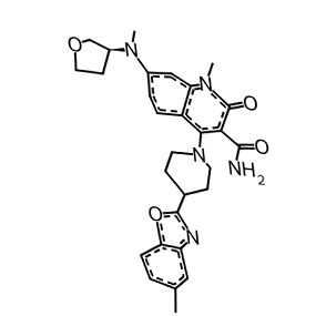 Cc1ccc2oc(C3CCN(c4c(C(N)=O)c(=O)n(C)c5cc(N(C)[C@H]6CCOC6)ccc45)CC3)nc2c1